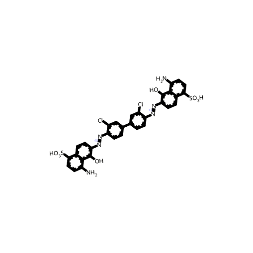 Nc1ccc(S(=O)(=O)O)c2ccc(/N=N/c3ccc(-c4ccc(/N=N/c5ccc6c(S(=O)(=O)O)ccc(N)c6c5O)c(Cl)c4)cc3Cl)c(O)c12